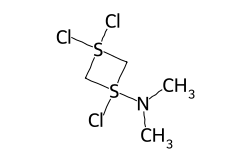 CN(C)S1(Cl)CS(Cl)(Cl)C1